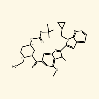 COc1cc(C(=O)N2C[C@H](NC(=O)OC(C)(C)C)CC[C@H]2CO)cc2nc(-c3cc4cccnc4n3CC3CC3)n(C)c12